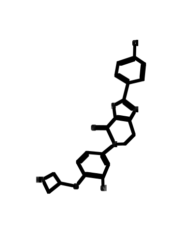 O=C1c2sc(-c3ccc(Cl)cc3)nc2CCN1c1ccc(OC2CNC2)c(Cl)c1